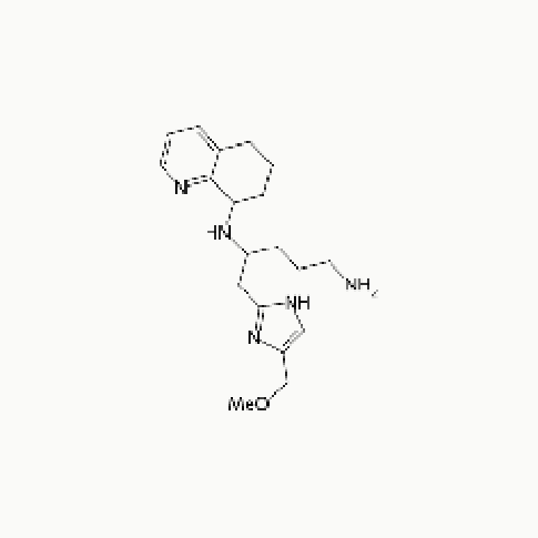 COCc1c[nH]c(CC(CCCN)NC2CCCc3cccnc32)n1